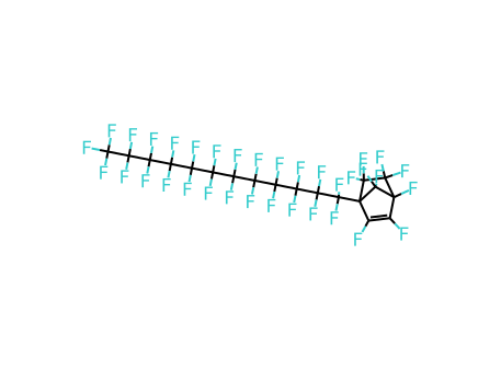 FC1=C(F)C2(C(F)(F)C(F)(F)C(F)(F)C(F)(F)C(F)(F)C(F)(F)C(F)(F)C(F)(F)C(F)(F)C(F)(F)C(F)(F)C(F)(F)F)C(F)(F)C(F)(F)C1(F)C2(F)F